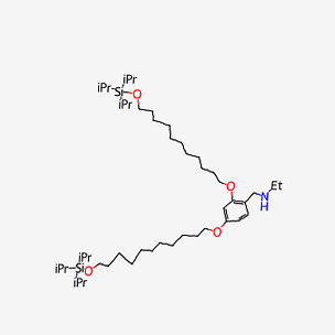 CCNCc1ccc(OCCCCCCCCCCCO[Si](C(C)C)(C(C)C)C(C)C)cc1OCCCCCCCCCCCO[Si](C(C)C)(C(C)C)C(C)C